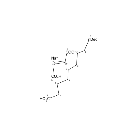 CCCCCCCCCCCCCCCCCC(=O)O.O=C([O-])C=CC(=O)O.[Na+]